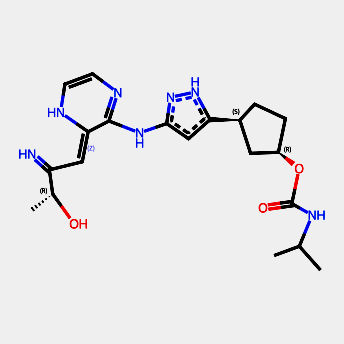 CC(C)NC(=O)O[C@@H]1CC[C@H](c2cc(NC3=NC=CN/C3=C\C(=N)[C@@H](C)O)n[nH]2)C1